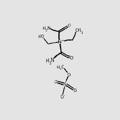 CC[N+](CO)(C(N)=O)C(N)=O.COS(=O)(=O)[O-]